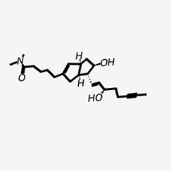 CC#CCC[C@@H](O)/C=C/[C@@H]1[C@H]2CC(CCCCC(=O)N(C)C)=C[C@H]2C[C@H]1O